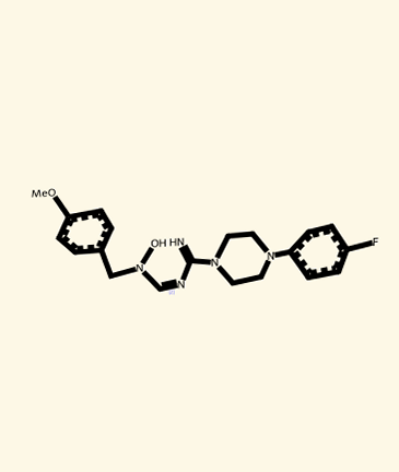 COc1ccc(CN(O)/C=N\C(=N)N2CCN(c3ccc(F)cc3)CC2)cc1